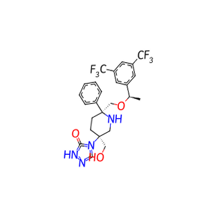 C[C@@H](OC[C@@]1(c2ccccc2)CC[C@](CO)(n2cn[nH]c2=O)CN1)c1cc(C(F)(F)F)cc(C(F)(F)F)c1